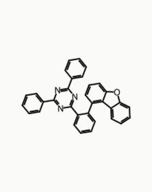 c1ccc(-c2nc(-c3ccccc3)nc(-c3ccccc3-c3cccc4oc5ccccc5c34)n2)cc1